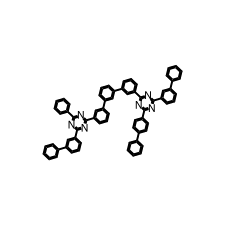 c1ccc(-c2ccc(-c3nc(-c4cccc(-c5ccccc5)c4)nc(-c4cccc(-c5cccc(-c6cccc(-c7nc(-c8ccccc8)nc(-c8cccc(-c9ccccc9)c8)n7)c6)c5)c4)n3)cc2)cc1